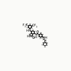 O=C(Nc1ccc(Nc2cc(C(F)(F)F)cc(C(F)(F)F)c2)c2c1C(=O)NC2)c1ccc(NCCN2CCCCC2)cc1